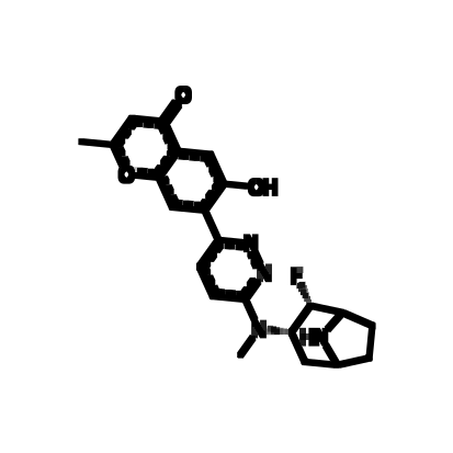 Cc1cc(=O)c2cc(O)c(-c3ccc(N(C)[C@H]4CC5CCC(N5)[C@H]4F)nn3)cc2o1